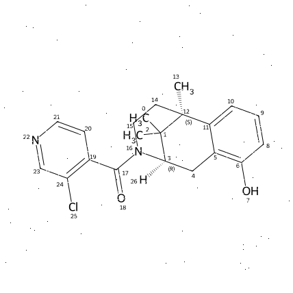 CC1(C)[C@H]2Cc3c(O)cccc3[C@]1(C)CCN2C(=O)c1ccncc1Cl